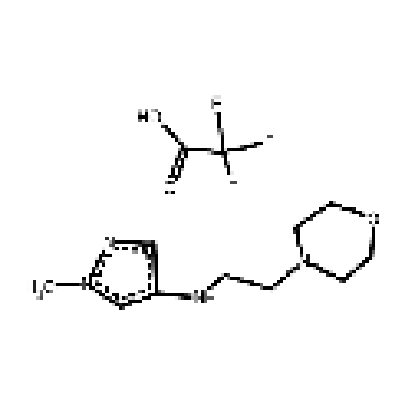 Cn1cc(NCCN2CCOCC2)cn1.O=C(O)C(F)(F)F